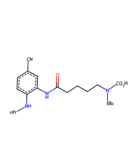 CCCNc1ccc(C#N)cc1NC(=O)CCCCN(C(=O)O)C(C)(C)C